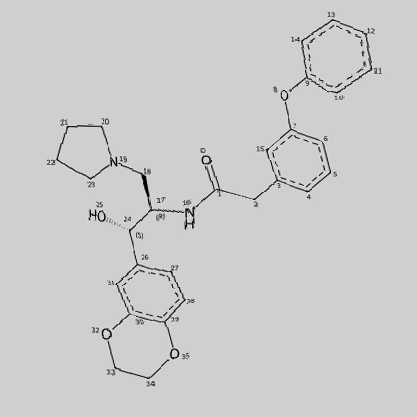 O=C(Cc1cccc(Oc2ccccc2)c1)N[C@H](CN1CCCC1)[C@@H](O)c1ccc2c(c1)OCCO2